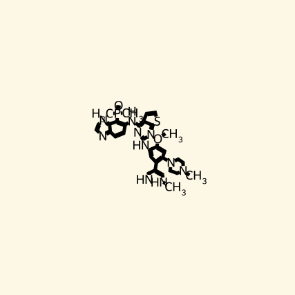 CN/C=C(\C=N)c1cc(Nc2nc(Nc3ccc4nccnc4c3P(C)(C)=O)c3ccsc3n2)c(OC)cc1N1CCN(C)CC1